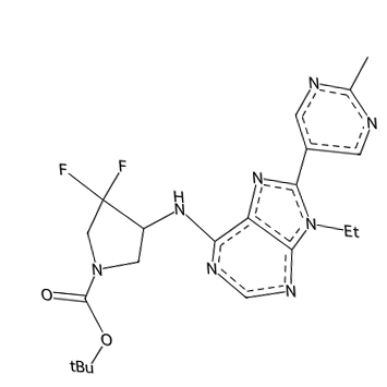 CCn1c(-c2cnc(C)nc2)nc2c(NC3CN(C(=O)OC(C)(C)C)CC3(F)F)ncnc21